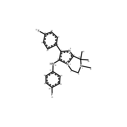 CN1CCn2c(nc(-c3ccc(F)cc3)c2Nc2ccc(F)cc2)C1(C)C